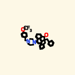 O=C1c2cccc3c(N4CCCN(Cc5ccc(OC(F)(F)F)cc5)CC4)ccc(c23)C1(Cc1ccccc1)Cc1ccccc1